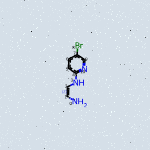 N/C=C\Nc1ccc(Br)cn1